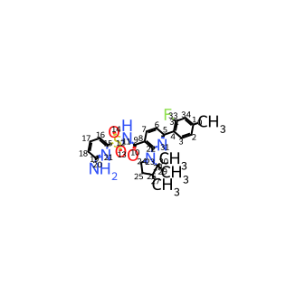 Cc1ccc(-c2ccc(C(=O)NS(=O)(=O)c3cccc(N)n3)c(N3CCC(C)C3(C)C)n2)c(F)c1